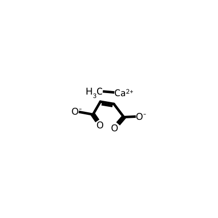 O=C([O-])/C=C\C(=O)[O-].[CH3][Ca+2]